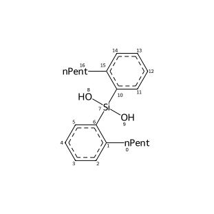 CCCCCc1ccccc1[Si](O)(O)c1ccccc1CCCCC